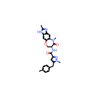 Cc1ccc(Cc2cc(C(=O)N[C@H]3COc4cc5[nH]c(C)nc5cc4N(C)C3=O)nn2C)cc1